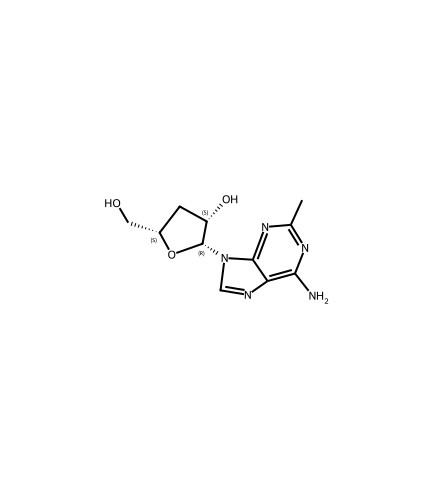 Cc1nc(N)c2ncn([C@@H]3O[C@H](CO)C[C@@H]3O)c2n1